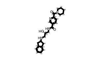 O=C(NC[C@@H](O)CNC1Cc2ccccc2C1)c1ccc(C(=O)N2CCCCC2)nc1